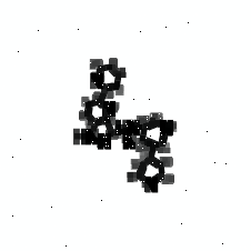 c1ccc(-c2ccc3[nH]nc(-c4nc5c(-c6ccncc6)cncc5[nH]4)c3n2)nc1